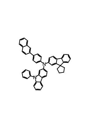 c1ccc(-n2c3ccccc3c3ccc(N(c4ccc(-c5ccc6ccccc6c5)cc4)c4ccc5c(c4)C4(CCCC4)c4ccccc4-5)cc32)cc1